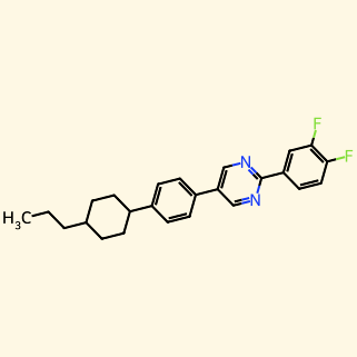 CCCC1CCC(c2ccc(-c3cnc(-c4ccc(F)c(F)c4)nc3)cc2)CC1